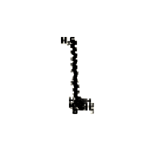 C=CCCCCCCCC=CCCCCCCCCCCC(CC)(P(=O)=O)[N+](C)(C)C